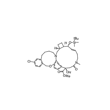 COC(=O)[C@@]1(O)CC(=O)N(C)CC/C=C/[C@H](O[Si](C)(C)C(C)(C)C)[C@@H]2CC[C@H]2CN2CCCCc3cc(Cl)ccc3COc3ccc1cc32